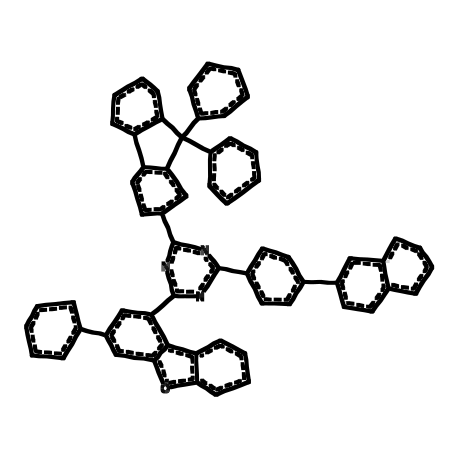 c1ccc(-c2cc(-c3nc(-c4ccc(-c5ccc6ccccc6c5)cc4)nc(-c4ccc5c(c4)C(c4ccccc4)(c4ccccc4)c4ccccc4-5)n3)c3c(c2)oc2ccccc23)cc1